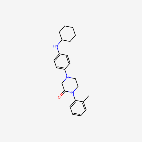 Cc1ccccc1N1CCN(c2ccc(NC3CCCCC3)cc2)CC1=O